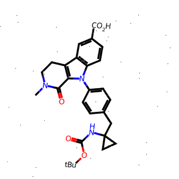 CN1CCc2c(n(-c3ccc(CC4(NC(=O)OC(C)(C)C)CC4)cc3)c3ccc(C(=O)O)cc23)C1=O